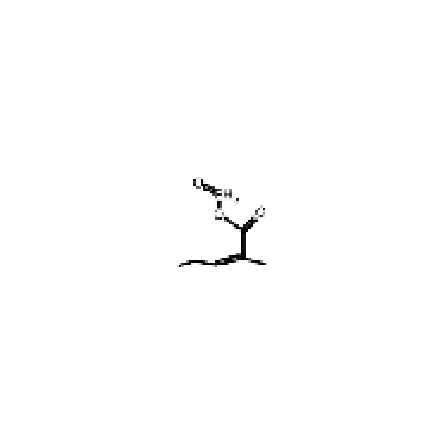 CCC=C(C)C(=O)O[PH2]=O